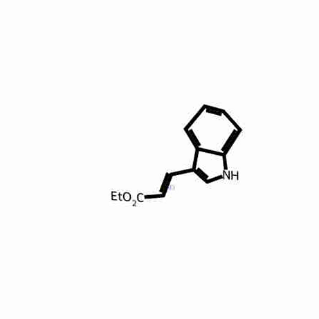 CCOC(=O)/C=C/c1c[nH]c2ccccc12